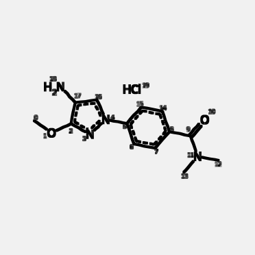 COc1nn(-c2ccc(C(=O)N(C)C)cc2)cc1N.Cl